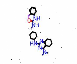 CN(C)c1nc(N[C@H]2CC[C@@H](CNC(=O)Nc3ccccc3I)CC2)nc2c1CCCC2